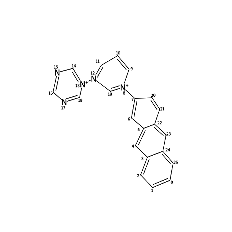 c1ccc2cc3cc(-[n+]4ccc[n+](-[n+]5cncnc5)c4)ccc3cc2c1